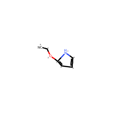 N#CCOc1ccc[nH]1